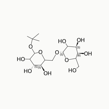 CC(C)(C)OC1OC(CO[C@H]2OC(CO)[C@H](O)[C@H](O)C2O)[C@@H](O)[C@H](O)C1O